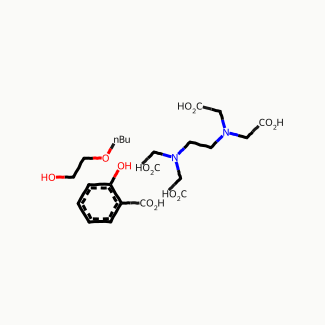 CCCCOCCO.O=C(O)CN(CCN(CC(=O)O)CC(=O)O)CC(=O)O.O=C(O)c1ccccc1O